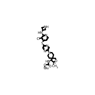 C[C@@H]1OCC2(CCN(c3cnc(Sc4ccnc(NC5CNC5)c4Cl)cn3)CC2)[C@@H]1NC(=O)OC(C)(C)C